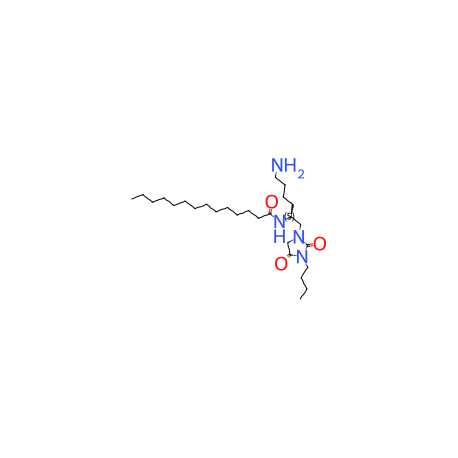 CCCCCCCCCCCCCC(=O)N[C@@H](CCCCN)CN1CC(=O)N(CCCC)C1=O